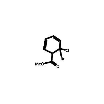 COC(=O)C1C=CC=CC1(Cl)Br